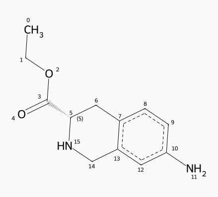 CCOC(=O)[C@@H]1Cc2ccc(N)cc2CN1